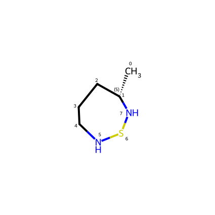 C[C@H]1CCCNSN1